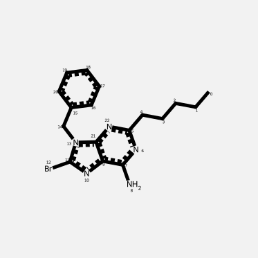 CCCCCc1nc(N)c2nc(Br)n(Cc3ccccc3)c2n1